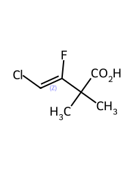 CC(C)(C(=O)O)/C(F)=C/Cl